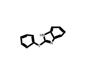 c1ccc(Sc2nc3ccccc3[nH]2)cc1